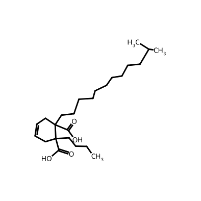 CCCCC1(C(=O)O)CC=CCC1(CCCCCCCCCCC(C)C)C(=O)O